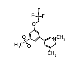 CC1=CC(c2cc(OCC(F)(F)F)cc(S(C)(=O)=O)c2)=CN(C)C1